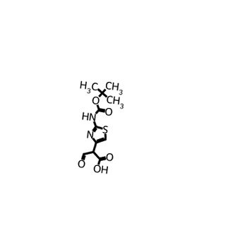 CC(C)(C)OC(=O)Nc1nc(C(C=O)C(=O)O)cs1